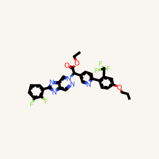 CCCOc1ccc(-c2ccc(C(C(=O)OCC)n3cc4nc(-c5cccc(F)c5F)nc-4cn3)cn2)c(C(F)(F)F)c1